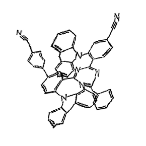 N#Cc1ccc(-c2ccc(-n3c4ccccc4c4ccccc43)c(-c3nc(-c4ccccc4)nc(-c4ccc(C#N)cc4-n4c5ccccc5c5ccccc54)n3)c2)cc1